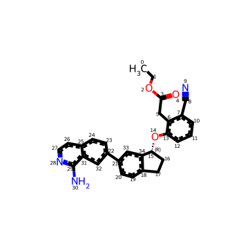 CCOC(=O)Cc1c(C#N)cccc1O[C@@H]1CCc2ccc(-c3ccc4ccnc(N)c4c3)cc21